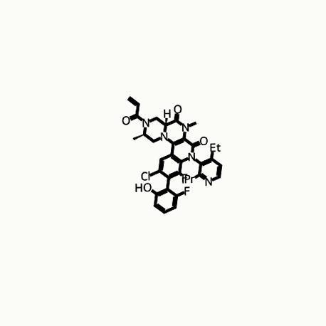 C=CC(=O)N1C[C@@H]2C(=O)N(C)c3c(c4cc(Cl)c(-c5c(O)cccc5F)c(F)c4n(-c4c(CC)ccnc4C(C)C)c3=O)N2C[C@H]1C